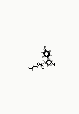 CCCCOC(=O)O[C@@H]1CNC[C@H]1c1ccc(F)cc1